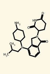 CC(C)CN(c1cccc2c1CN(C1CCC(=O)NC1=O)C2=O)C1CCC(N)CC1